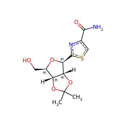 CC1(C)O[C@@H]2[C@H](O1)[C@@H](CO)O[C@H]2c1nc(C(N)=O)cs1